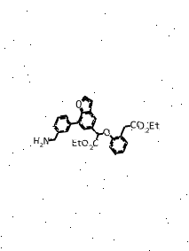 CCOC(=O)Cc1ccccc1OC(C(=O)OCC)c1cc(-c2cccc(CN)c2)c2occc2c1